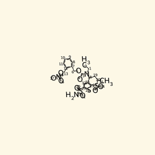 CCN(C(=O)OCc1ccccc1CO[N+](=O)[O-])[C@H]1CC(C)S(=O)(=O)c2sc(S(N)(=O)=O)cc21